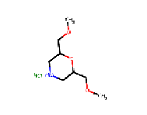 COCC1CNCC(COC)O1.Cl